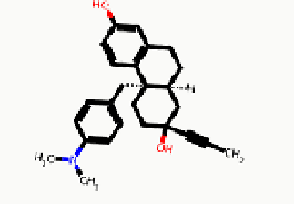 CC#CC1(O)CC[C@@]2(Cc3ccc(N(C)C)cc3)c3ccc(O)cc3CC[C@H]2C1